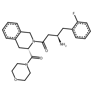 N[C@@H](CC(=O)N1Cc2ccccc2C[C@H]1C(=O)N1CCOCC1)Cc1ccccc1F